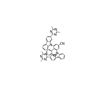 Cc1nc(C)nc(-c2ccc3c4ccccc4n(-c4cc(C#N)cc(-n5c6ccccc6c6ccc(-c7nc(C)nc(C)n7)cc65)c4-c4ccccc4C(F)(F)F)c3c2)n1